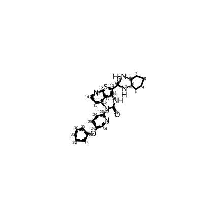 N[C@H]1CCCC[C@H]1NC(=O)c1sc2nccc3c2c1NC(=O)N3c1ccc(Oc2ccccc2)cn1